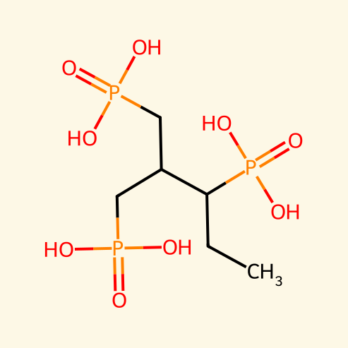 CCC(C(CP(=O)(O)O)CP(=O)(O)O)P(=O)(O)O